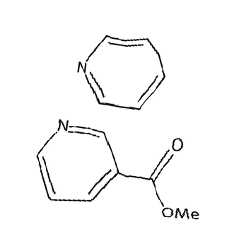 COC(=O)c1cccnc1.c1ccncc1